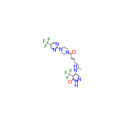 CC(CC/C=C/C(=O)N1CCN(c2ncc(C(F)(F)F)cn2)CC1)Nc1cn[nH]c(=O)c1C(F)(F)F